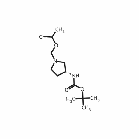 CC(Cl)OCN1CC[C@@H](NC(=O)OC(C)(C)C)C1